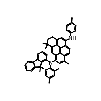 Cc1ccc(Nc2cc3c4c(cc5c(N(c6ccc(C)cc6C)c6cccc7c6C(C)(C)c6ccccc6-7)cc(C)c6ccc2c4c65)C(C)(C)CC3)cc1